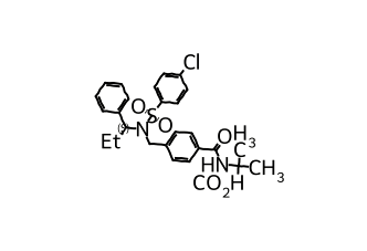 CC[C@@H](c1ccccc1)N(Cc1ccc(C(=O)NC(C)(C)C(=O)O)cc1)S(=O)(=O)c1ccc(Cl)cc1